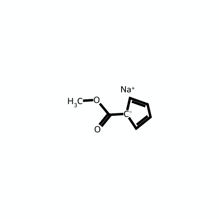 COC(=O)[c-]1cccc1.[Na+]